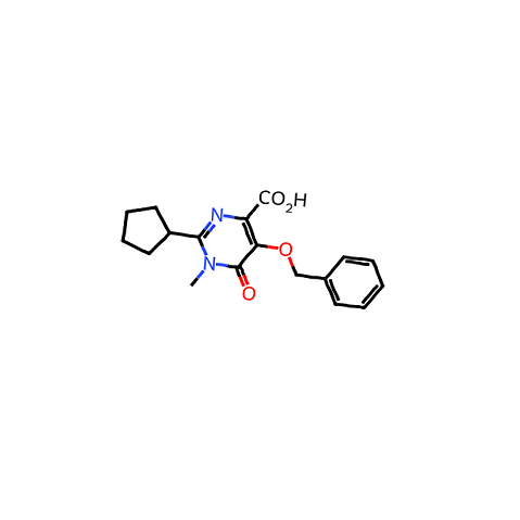 Cn1c(C2CCCC2)nc(C(=O)O)c(OCc2ccccc2)c1=O